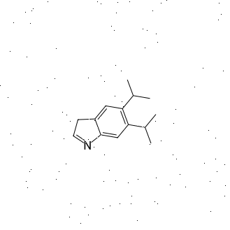 CC(C)c1cc2c(cc1C(C)C)N=CC2